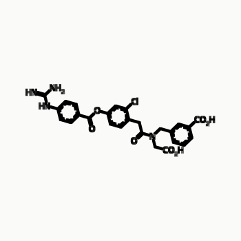 N=C(N)Nc1ccc(C(=O)Oc2ccc(CC(=O)N(CC(=O)O)Cc3cccc(C(=O)O)c3)c(Cl)c2)cc1